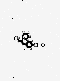 O=[C]c1ccc(CC(CCl)N2CCCCC2)cc1